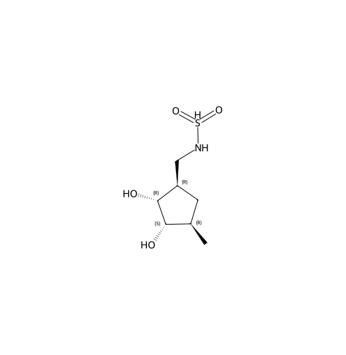 C[C@@H]1C[C@H](CN[SH](=O)=O)[C@@H](O)[C@H]1O